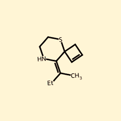 CC/C(C)=C1\NCCSC12C=CC2